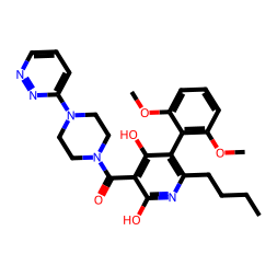 CCCCc1nc(O)c(C(=O)N2CCN(c3cccnn3)CC2)c(O)c1-c1c(OC)cccc1OC